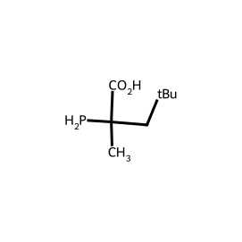 CC(C)(C)CC(C)(P)C(=O)O